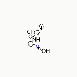 O=C(Nc1ccccc1/C=N/CCO)c1ccc(N2CCCC2)cc1Cl